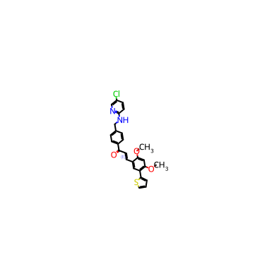 COc1cc(OC)c(-c2cccs2)cc1/C=C/C(=O)c1ccc(CNc2ccc(Cl)cn2)cc1